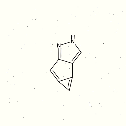 c1c2cc3n[nH]cc3c1-2